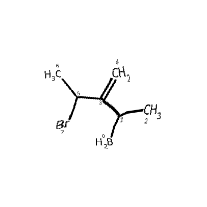 BC(C)C(=C)C(C)Br